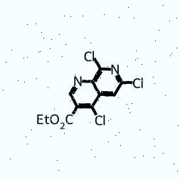 CCOC(=O)c1cnc2c(Cl)nc(Cl)cc2c1Cl